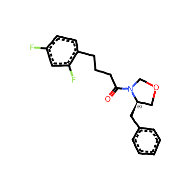 O=C(CCCc1ccc(F)cc1F)N1COC[C@H]1Cc1ccccc1